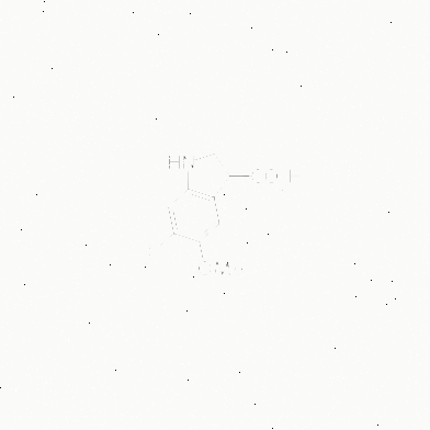 COc1cc2c(cc1C(F)(F)F)NCC2C(=O)O